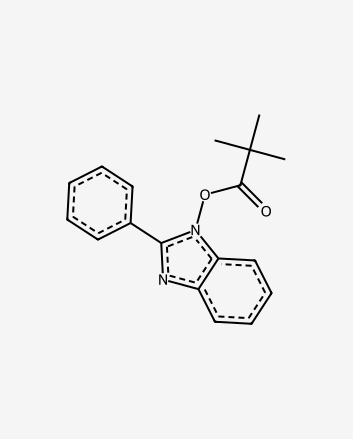 CC(C)(C)C(=O)On1c(-c2ccccc2)nc2ccccc21